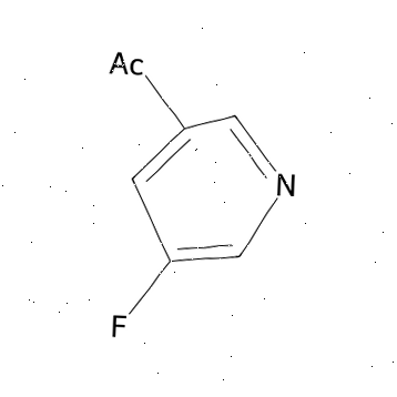 CC(=O)c1cncc(F)c1